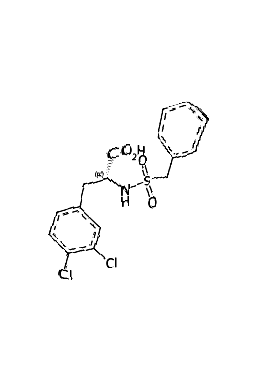 O=C(O)[C@@H](Cc1ccc(Cl)c(Cl)c1)NS(=O)(=O)Cc1ccccc1